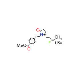 CCCCC(C)=C(F)C=C[C@H]1CCC(=O)N1CCc1ccc(C(=O)OC)cc1